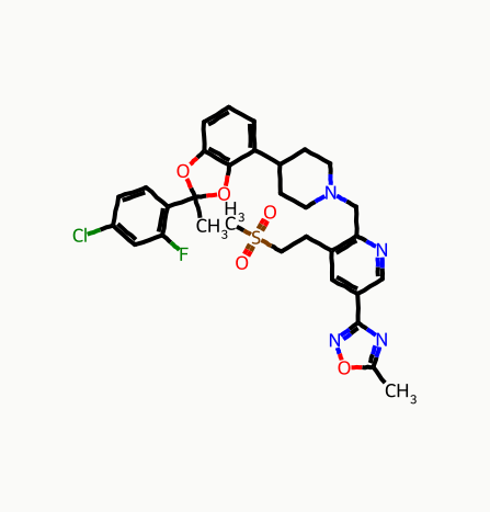 Cc1nc(-c2cnc(CN3CCC(c4cccc5c4OC(C)(c4ccc(Cl)cc4F)O5)CC3)c(CCS(C)(=O)=O)c2)no1